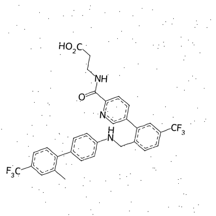 Cc1cc(C(F)(F)F)ccc1-c1ccc(NCc2ccc(C(F)(F)F)cc2-c2ccc(C(=O)NCCC(=O)O)nc2)cc1